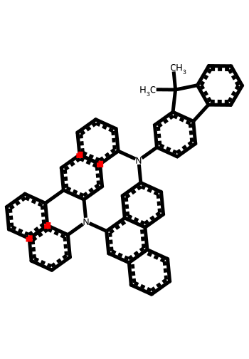 CC1(C)c2ccccc2-c2ccc(N(c3ccccc3)c3ccc4c(c3)c(N(c3ccccc3)c3ccccc3-c3ccccc3)cc3ccccc34)cc21